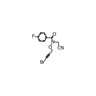 N#CCN(OCC#CBr)C(=O)c1ccc(F)cc1